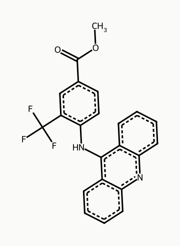 COC(=O)c1ccc(Nc2c3ccccc3nc3ccccc23)c(C(F)(F)F)c1